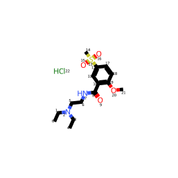 CCN(CC)CCNC(=O)c1cc(S(C)(=O)=O)ccc1OC.Cl